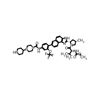 COC(=O)N[C@H](C(=O)N1C[C@@H](C)C[C@H]1c1nc2c(ccc3cc(-c4ccc(NC(=O)N5CCN(C6CCNCC6)CC5)cc4OC(F)(F)F)ccc32)[nH]1)C(C)C